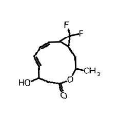 CC1CC2C(/C=C\C=C\C(O)CC(=O)O1)C2(F)F